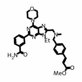 CCn1c(CN(C)Cc2ccc(C=CC(=O)OC)cc2)nc2c(N3CCOCC3)nc(-c3cccc(C(N)=O)c3)nc21